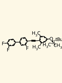 Cc1cc(O[Si](C)(C)C(C)(C)C)cc(C)c1C#Cc1ccc(-c2ccc(F)c(F)c2)cc1F